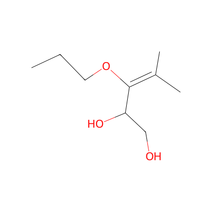 CCCOC(=C(C)C)C(O)CO